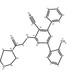 Cc1ccccc1-c1cc(-c2ccccc2)c(C#N)c(SCC(=O)N2CCOCC2)n1